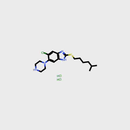 CC(C)CCCCSc1nc2cc(Cl)c(N3CCNCC3)cc2[nH]1.Cl.Cl